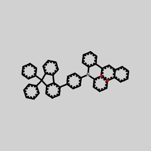 c1ccc(N(c2ccc(-c3cccc4c3-c3ccccc3C4(c3ccccc3)c3ccccc3)cc2)c2ccccc2-c2ccc3ccccc3c2)cc1